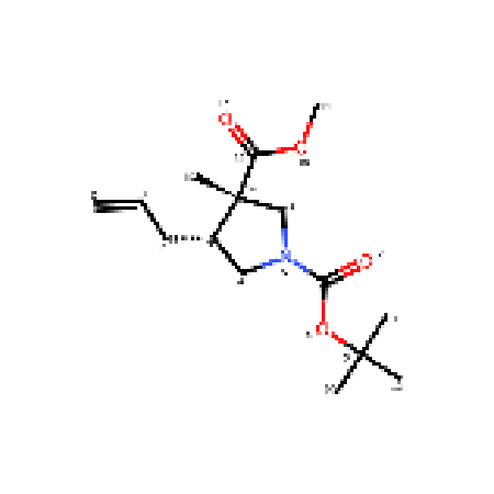 C=CC[C@H]1CN(C(=O)OC(C)(C)C)C[C@@]1(C)C(=O)OC